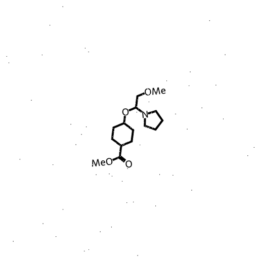 COCC(OC1CCC(C(=O)OC)CC1)N1CCCC1